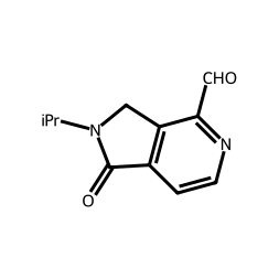 CC(C)N1Cc2c(ccnc2C=O)C1=O